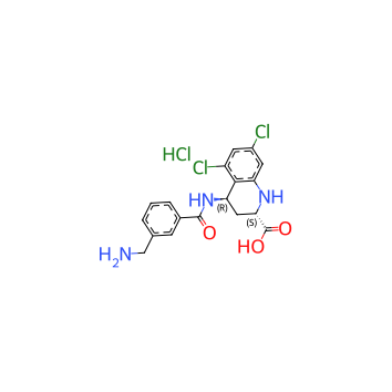 Cl.NCc1cccc(C(=O)N[C@@H]2C[C@@H](C(=O)O)Nc3cc(Cl)cc(Cl)c32)c1